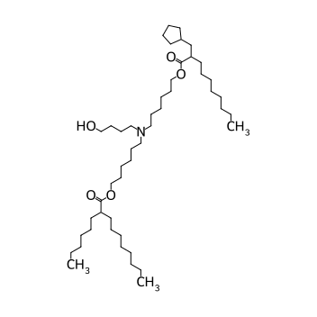 CCCCCCCCC(CCCCCC)C(=O)OCCCCCCN(CCCCO)CCCCCCOC(=O)C(CCCCCCCC)CC1CCCC1